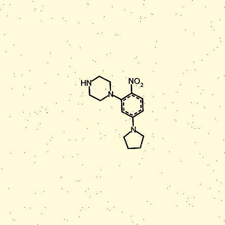 O=[N+]([O-])c1ccc(N2CCCC2)cc1N1CCNCC1